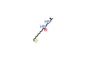 C=C(C)CNCCCNC(=O)CCCCCCCC1CCSS1